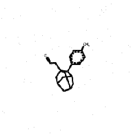 Cc1ccc(C2C3CC4CC(C3)CC2(CC=O)C4)cc1